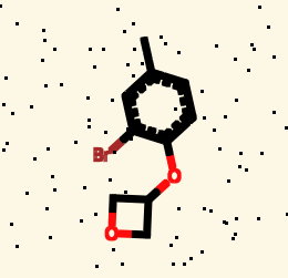 Cc1ccc(OC2COC2)c(Br)c1